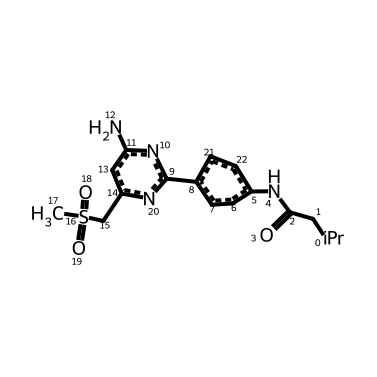 CC(C)CC(=O)Nc1ccc(-c2nc(N)cc(CS(C)(=O)=O)n2)cc1